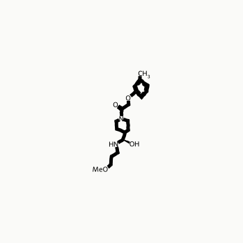 COCCCN[C@H](O)C1CCN(C(=O)COc2cccc(C)c2)CC1